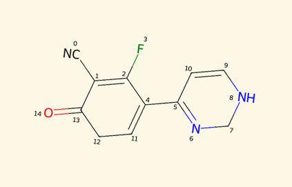 N#CC1=C(F)C(C2=NCNC=C2)=CCC1=O